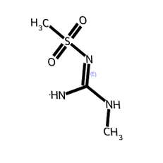 CN/C([NH])=N/S(C)(=O)=O